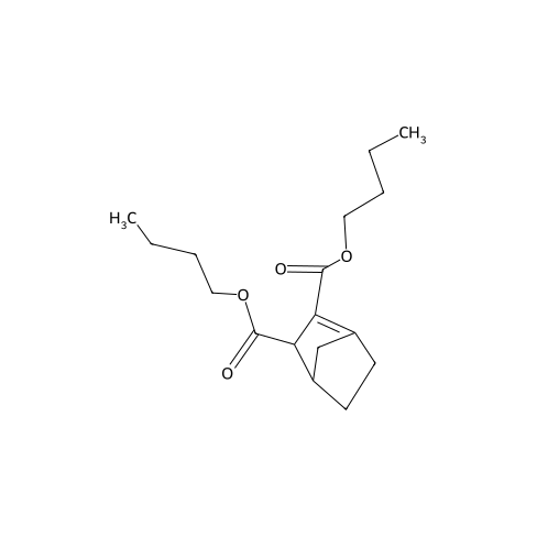 CCCCOC(=O)C1=C2CCC(C2)C1C(=O)OCCCC